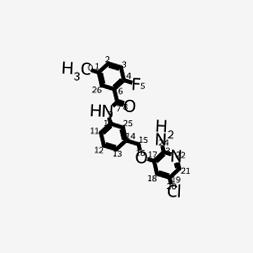 Cc1ccc(F)c(C(=O)Nc2cccc(COc3cc(Cl)cnc3N)c2)c1